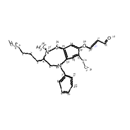 CCCCC1CN(c2ccccc2)c2cc(SC)c(O/C=C/C=O)cc2SN1C